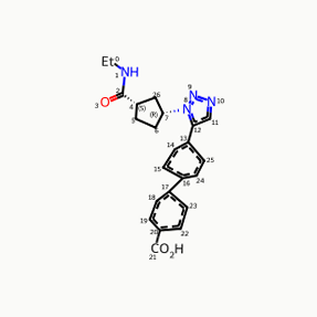 CCNC(=O)[C@H]1CC[C@@H](n2nncc2-c2ccc(-c3ccc(C(=O)O)cc3)cc2)C1